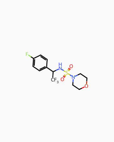 O=S(=O)(NC(c1ccc(F)cc1)C(F)(F)F)N1CCOCC1